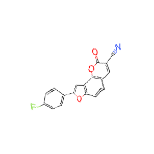 N#Cc1cc2ccc3oc(-c4ccc(F)cc4)cc3c2oc1=O